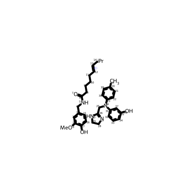 COc1cc(CNC(=O)CCCC/C=C/C(C)C)ccc1O.Cc1ccc(N(CC2=NCCN2)c2cccc(O)c2)cc1